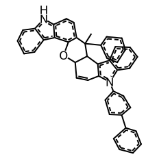 CC1(c2ccccc2)c2ccc3[nH]c4ccccc4c3c2OC2C=Cc3c(c4ccccc4n3-c3ccc(-c4ccccc4)cc3)C21